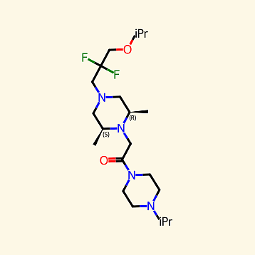 CC(C)OCC(F)(F)CN1C[C@@H](C)N(CC(=O)N2CCN(C(C)C)CC2)[C@@H](C)C1